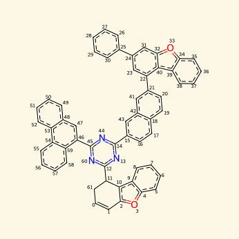 C1=Cc2oc3ccccc3c2C(c2nc(-c3ccc4ccc(-c5cc(-c6ccccc6)cc6oc7ccccc7c56)cc4c3)nc(-c3cc4ccccc4c4ccccc34)n2)C1